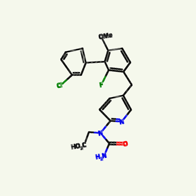 COc1ccc(Cc2ccc(N(CC(=O)O)C(N)=O)nc2)c(F)c1-c1cccc(Cl)c1